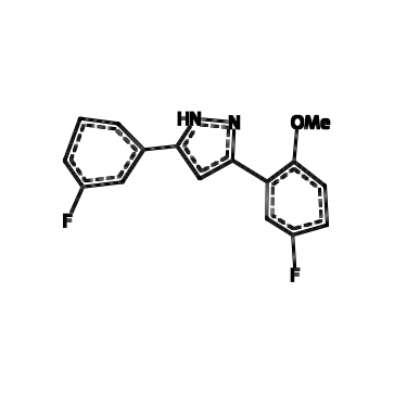 COc1ccc(F)cc1-c1cc(-c2cccc(F)c2)[nH]n1